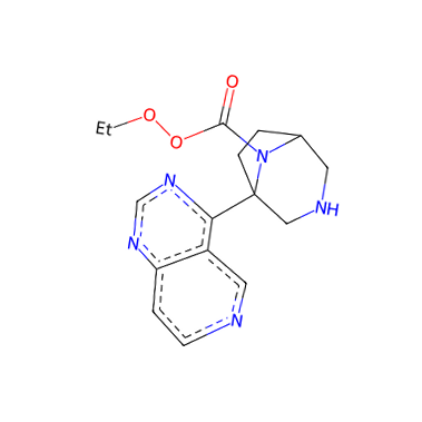 CCOOC(=O)N1C2CCC1(c1ncnc3ccncc13)CNC2